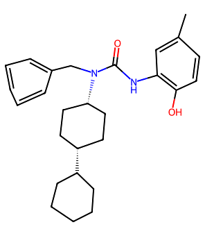 Cc1ccc(O)c(NC(=O)N(Cc2ccccc2)[C@H]2CC[C@@H](C3CCCCC3)CC2)c1